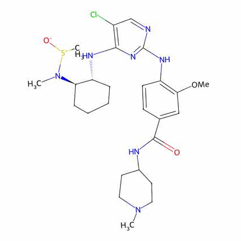 COc1cc(C(=O)NC2CCN(C)CC2)ccc1Nc1ncc(Cl)c(N[C@@H]2CCCC[C@H]2N(C)[S+](C)[O-])n1